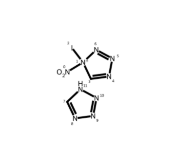 O=[N+]([O-])[N+]1(I)C=NN=N1.c1nnn[nH]1